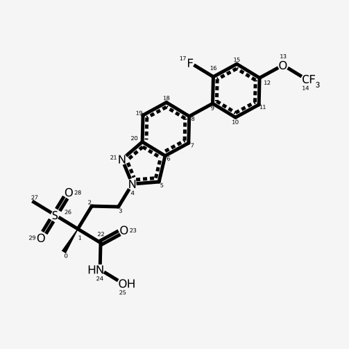 C[C@@](CCn1cc2cc(-c3ccc(OC(F)(F)F)cc3F)ccc2n1)(C(=O)NO)S(C)(=O)=O